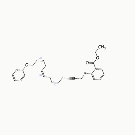 CCOC(=O)c1ccccc1SCC#CC/C=C\C/C=C\C/C=C\COc1ccccc1